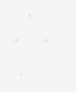 B1OBOBO1.Cc1ccccc1